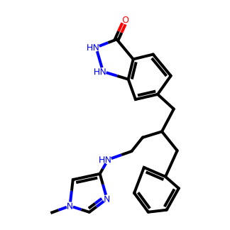 Cn1cnc(NCCC(Cc2ccccc2)Cc2ccc3c(=O)[nH][nH]c3c2)c1